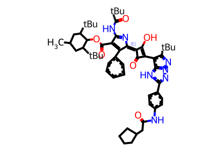 CC1CC(C(C)(C)C)C(OC(=O)C2=C(c3ccccc3)/C(=C3\C(=O)C(c4c(C(C)(C)C)nn5nc(-c6ccc(NC(=O)CC7CCCC7)cc6)[nH]c45)=C3O)N=C2NC(=O)C(C)(C)C)C(C(C)(C)C)C1